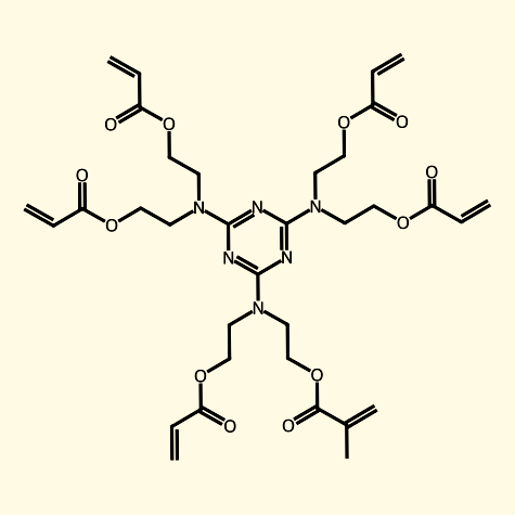 C=CC(=O)OCCN(CCOC(=O)C=C)c1nc(N(CCOC(=O)C=C)CCOC(=O)C=C)nc(N(CCOC(=O)C=C)CCOC(=O)C(=C)C)n1